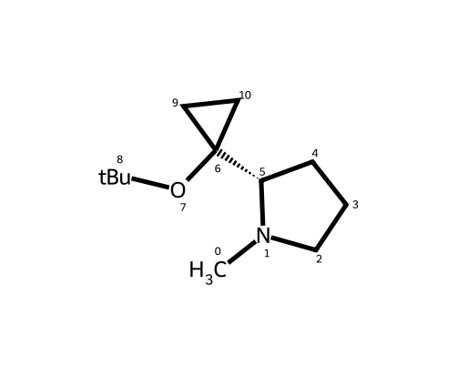 CN1CCC[C@H]1C1(OC(C)(C)C)CC1